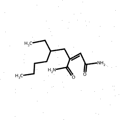 CCCCC(CC)C/C(=C/C(N)=O)C(N)=O